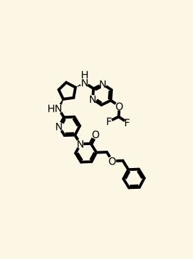 O=c1c(COCc2ccccc2)cccn1-c1ccc(N[C@H]2CC[C@H](Nc3ncc(OC(F)F)cn3)C2)nc1